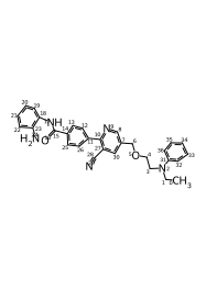 CCN(CCOCc1cnc(-c2ccc(C(=O)Nc3ccccc3N)cc2)c(C#N)c1)c1ccccc1